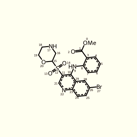 COC(=O)c1ccccc1Nc1c(S(=O)(=O)C2CNCCO2)cnc2ccc(Br)cc12